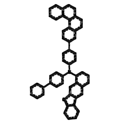 c1ccc(-c2ccc(N(c3ccc(-c4ccc5c(ccc6ccc7ccccc7c65)c4)cc3)c3cccc4cc5c(cc34)oc3ccccc35)cc2)cc1